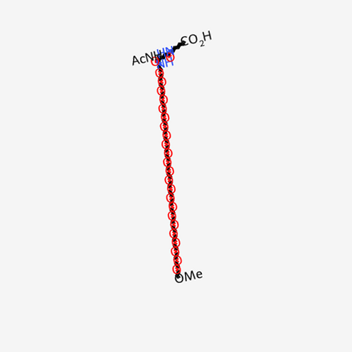 COCCOCCOCCOCCOCCOCCOCCOCCOCCOCCOCCOCCOCCOCCOCCOCCOCCOCCOCCOCCOCCOCCOCCOCCNC(=O)C(CCC(=O)NCCCCCC(=O)O)NC(C)=O